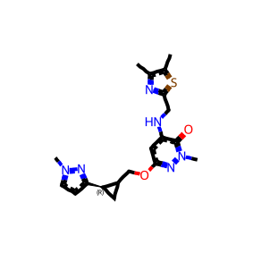 Cc1nc(CNc2cc(OCC3C[C@H]3c3ccn(C)n3)nn(C)c2=O)sc1C